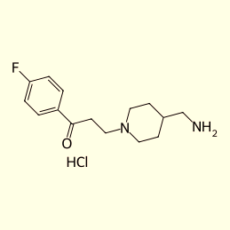 Cl.NCC1CCN(CCC(=O)c2ccc(F)cc2)CC1